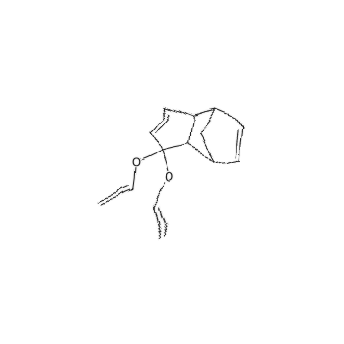 C=COC1(OC=C)C=CC2C3C=CC(C3)C21